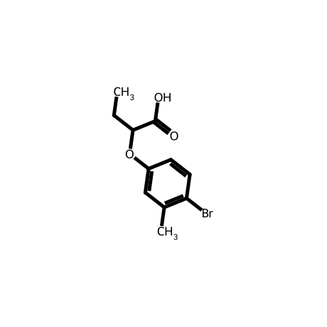 CCC(Oc1ccc(Br)c(C)c1)C(=O)O